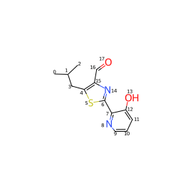 CC(C)Cc1sc(-c2ncccc2O)nc1C=O